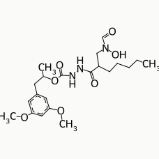 CCCCCC(CN(O)C=O)C(=O)NNC(=O)OC(C)Cc1cc(OC)cc(OC)c1